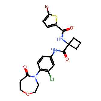 O=C(NC1(C(=O)Nc2ccc(N3CCOCCC3=O)c(Cl)c2)CCC1)c1ccc(Br)s1